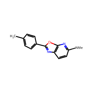 CNc1ccc2nc(-c3ccc(C)cc3)oc2n1